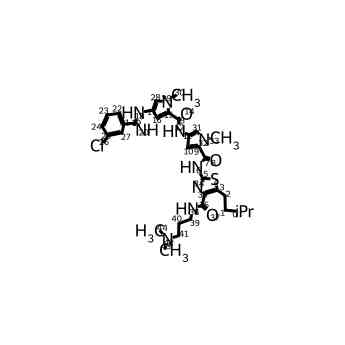 CC(C)CCc1sc(NC(=O)c2cc(NC(=O)c3cc(NC(=N)c4cccc(Cl)c4)cn3C)cn2C)nc1C(=O)NCCCN(C)C